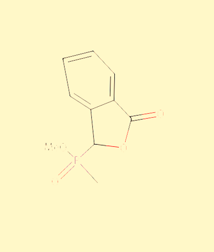 COP(C)(=O)C1OC(=O)c2ccccc21